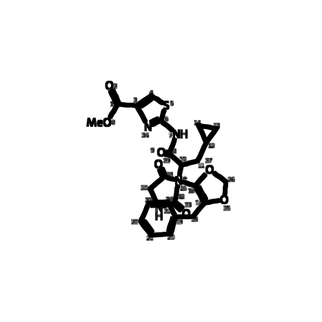 COC(=O)c1csc(NC(=O)C(CC2CC2)[N+]2(C3=C(Cc4ccccc4)OCO3)C(=O)CNC2=O)n1